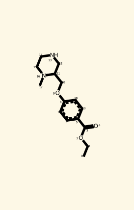 CCOC(=O)c1ccc(OCC2CNCCN2C)cc1